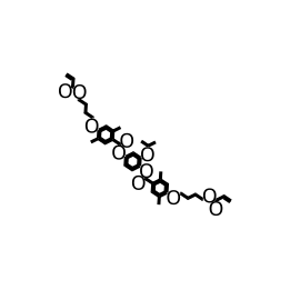 C=CC(=O)OCCCCOc1cc(C)c(C(=O)Oc2ccc(OC(=O)c3cc(C)c(OCCCCOC(=O)C=C)cc3C)c(OC(C)C)c2)cc1C